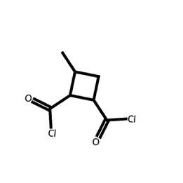 CC1CC(C(=O)Cl)C1C(=O)Cl